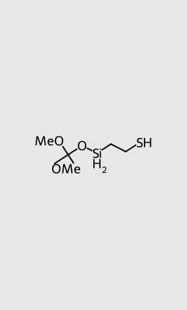 COC(C)(OC)O[SiH2]CCS